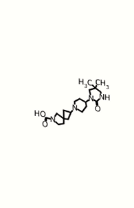 CC1(C)CNC(=O)N(C2CCN(C3CC4(CCN(C(=O)O)C4)C3)CC2)C1